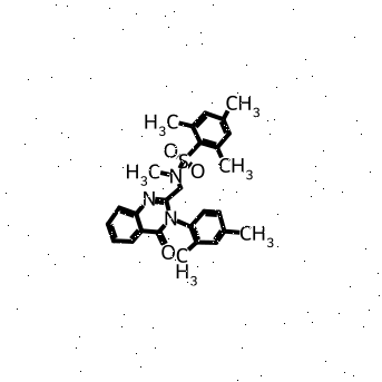 Cc1ccc(-n2c(CN(C)S(=O)(=O)c3c(C)cc(C)cc3C)nc3ccccc3c2=O)c(C)c1